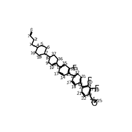 C=CCCC1CCC(C2CC=C(c3ccc(-c4ccc(-c5ccc(C6CO6)c(F)c5F)cc4)c(F)c3)CC2)CC1